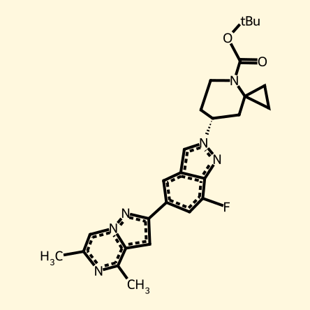 Cc1cn2nc(-c3cc(F)c4nn([C@@H]5CCN(C(=O)OC(C)(C)C)C6(CC6)C5)cc4c3)cc2c(C)n1